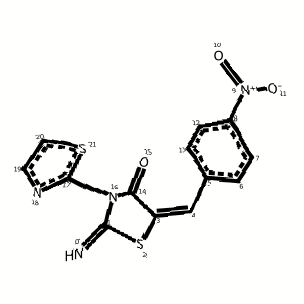 N=C1S/C(=C/c2ccc([N+](=O)[O-])cc2)C(=O)N1c1nccs1